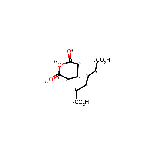 O=C(O)CCCCC(=O)O.O=C1CCCC(=O)O1